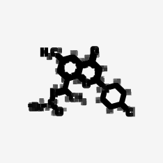 C/C(=N\[S@+]([O-])C(C)(C)C)c1cc(C)cc2c(=O)cc(N3CCC(Cl)CC3)oc12